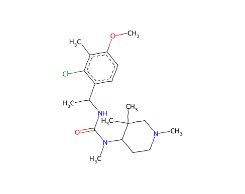 COc1ccc(C(C)NC(=O)N(C)C2CCN(C)CC2(C)C)c(Cl)c1C